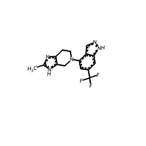 Cc1nc2c([nH]1)CN(c1cc(C(F)(F)F)cc3[nH]ncc13)CC2